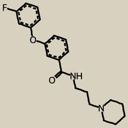 O=C(NCCCN1CCCCC1)c1cccc(Oc2cccc(F)c2)c1